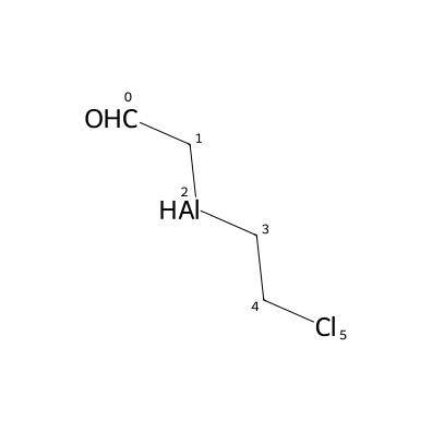 O=C[CH2][AlH][CH2]CCl